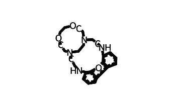 c1cc2c3oc4c(cccc4c3c1)NCCN1CCOCCOCCN(CCN2)CC1